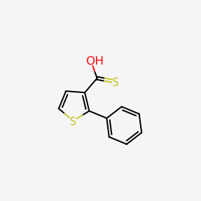 OC(=S)c1ccsc1-c1ccccc1